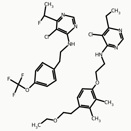 CC(F)c1ncnc(NCCc2ccc(OC(F)(F)F)cc2)c1Cl.CCOCCc1ccc(OCCNc2ncnc(CC)c2Cl)c(C)c1C